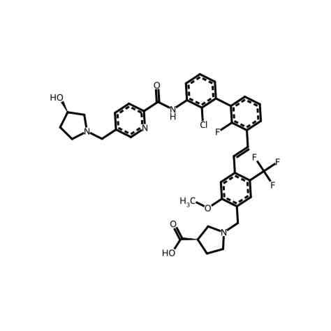 COc1cc(/C=C/c2cccc(-c3cccc(NC(=O)c4ccc(CN5CC[C@@H](O)C5)cn4)c3Cl)c2F)c(C(F)(F)F)cc1CN1CC[C@@H](C(=O)O)C1